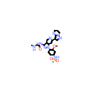 CNCC(=O)Nc1nn(-c2ccc(NS(C)(=O)=O)cc2OC)c2cc(-c3cnn4cccnc34)ncc12